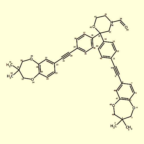 CC1(C)COc2ccc(C#Cc3ccc(C4(c5ccc(C#Cc6ccc7c(c6)OCC(C)(C)CO7)cc5)CN(C=O)CCO4)cc3)cc2OC1